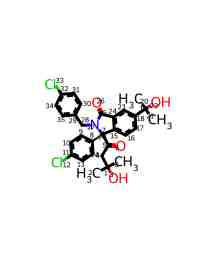 CC(C)(O)CC(=O)[C@@]1(c2ccc(Cl)cc2)c2ccc(C(C)(C)O)cc2C(=O)N1Cc1ccc(Cl)cc1